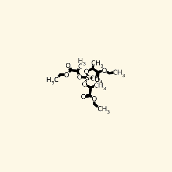 CCOC(=O)C(C)O[Si](C)(OC(C)C(=O)OCC)OC(C)C(=O)OCC